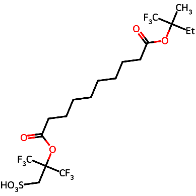 CCC(C)(OC(=O)CCCCCCCCC(=O)OC(CS(=O)(=O)O)(C(F)(F)F)C(F)(F)F)C(F)(F)F